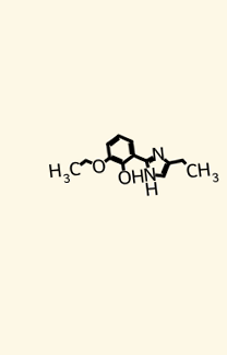 CCOc1cccc(-c2nc(CC)c[nH]2)c1O